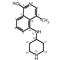 Cc1cnc(O)c2cccc(NC3CCNCC3)c12